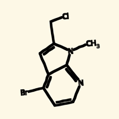 Cn1c(CCl)cc2c(Br)ccnc21